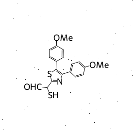 COc1ccc(-c2nc(C(S)C=O)sc2-c2ccc(OC)cc2)cc1